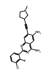 CN1CCC(C#Cc2cc3nc(-c4cccc(Cl)c4F)nc(N)c3cc2N)C1